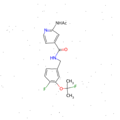 CC(=O)Nc1cc(C(=O)NCc2ccc(F)c(OC(C)(C)F)c2)ccn1